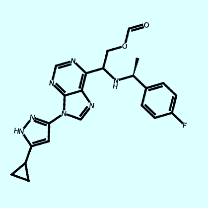 C[C@H](NC(COC=O)c1ncnc2c1ncn2-c1cc(C2CC2)[nH]n1)c1ccc(F)cc1